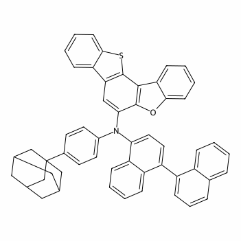 c1ccc2c(-c3ccc(N(c4ccc(C56CC7CC(CC(C7)C5)C6)cc4)c4cc5c6ccccc6sc5c5c4oc4ccccc45)c4ccccc34)cccc2c1